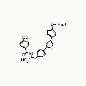 CCCCCCCOc1ccc(-c2csc(-c3ccc(CC(NC(=O)c4ccc(C(C)(C)C)cc4)C(=O)O)cc3)n2)cc1